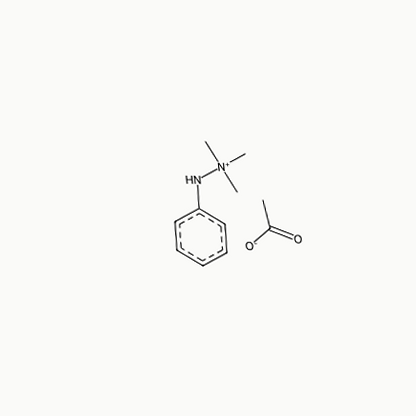 CC(=O)[O-].C[N+](C)(C)Nc1ccccc1